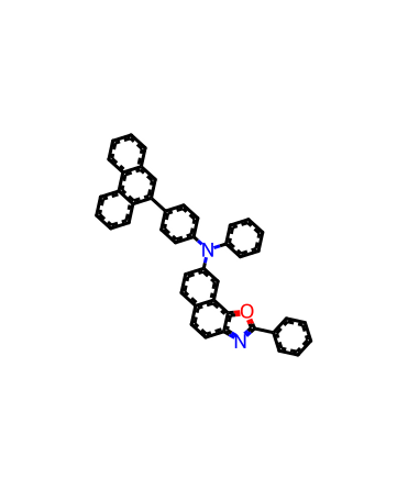 c1ccc(-c2nc3ccc4ccc(N(c5ccccc5)c5ccc(-c6cc7ccccc7c7ccccc67)cc5)cc4c3o2)cc1